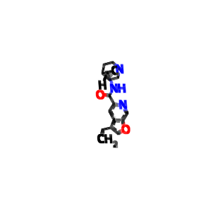 C=Cc1coc2cnc(C(=O)N[C@H]3CN4CCC3CC4)cc12